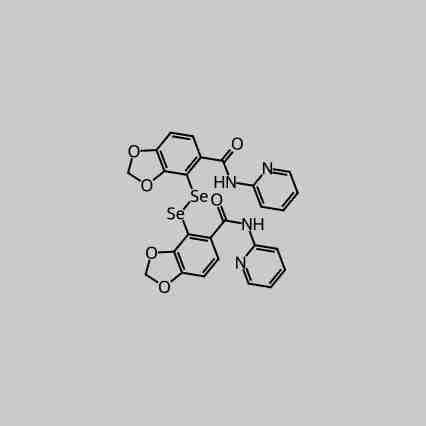 O=C(Nc1ccccn1)c1ccc2c(c1[Se][Se]c1c(C(=O)Nc3ccccn3)ccc3c1OCO3)OCO2